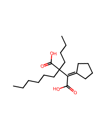 CCCCCCC(CCCC)(C(=O)O)C(C(=O)O)=C1CCCC1